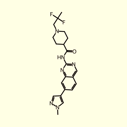 Cn1cc(-c2ccc3cnc(NC(=O)C4CCN(CC(C)(F)F)CC4)nc3c2)cn1